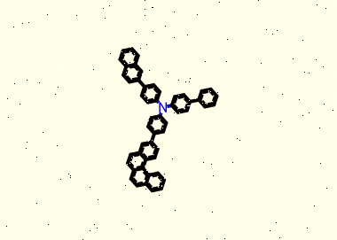 c1ccc(-c2ccc(N(c3ccc(-c4ccc5ccccc5c4)cc3)c3ccc(-c4ccc5c(ccc6ccc7ccccc7c65)c4)cc3)cc2)cc1